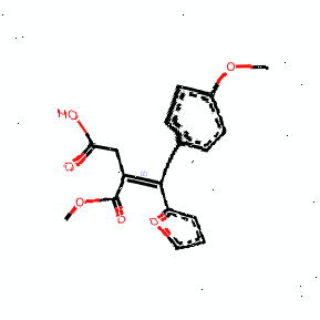 COC(=O)/C(CC(=O)O)=C(/c1ccc(OC)cc1)c1ccco1